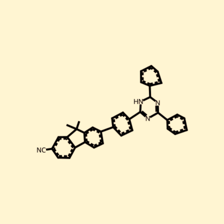 CC1(C)c2cc(C#N)ccc2-c2ccc(-c3ccc(C4=NC(c5ccccc5)=NC(c5ccccc5)N4)cc3)cc21